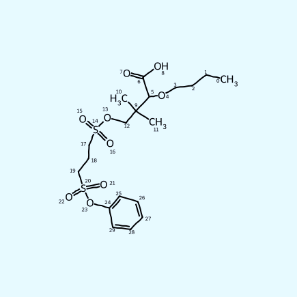 CCCCOC(C(=O)O)C(C)(C)COS(=O)(=O)CCCS(=O)(=O)Oc1ccccc1